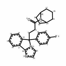 O=C(CCC1(c2ccc(F)cc2)c2ccccc2-c2nccn21)N1C2CCCC1CC2